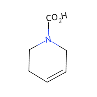 O=C(O)N1CC=CCC1